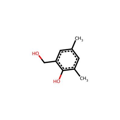 Cc1cc(C)c(O)c(CO)c1